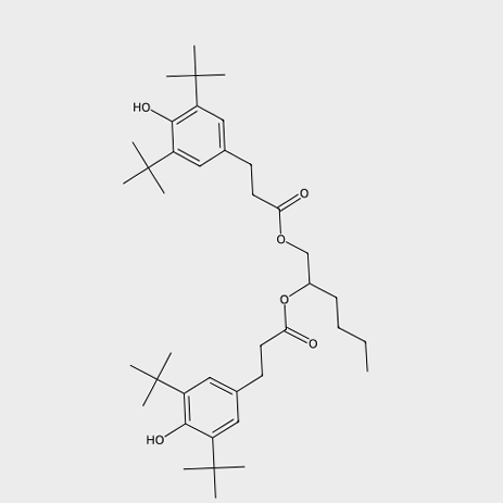 CCCCC(COC(=O)CCc1cc(C(C)(C)C)c(O)c(C(C)(C)C)c1)OC(=O)CCc1cc(C(C)(C)C)c(O)c(C(C)(C)C)c1